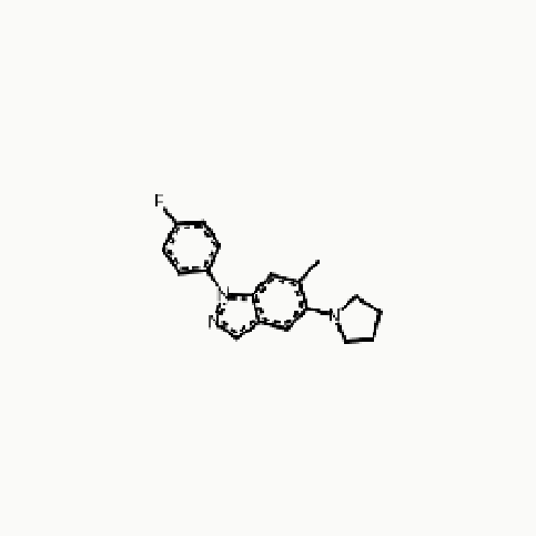 Cc1cc2c(cnn2-c2ccc(F)cc2)cc1N1CCCC1